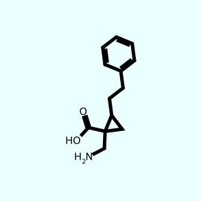 NCC1(C(=O)O)CC1CCc1ccccc1